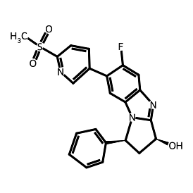 CS(=O)(=O)c1ccc(-c2cc3c(cc2F)nc2n3[C@H](c3ccccc3)C[C@@H]2O)cn1